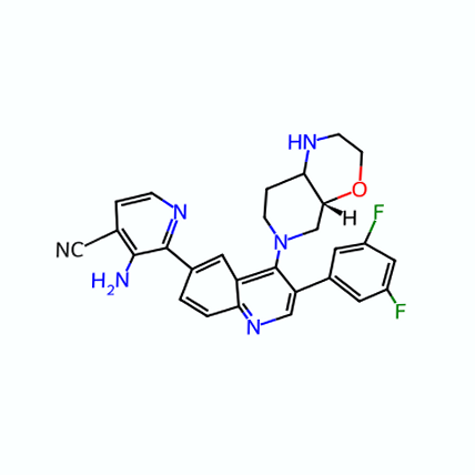 N#Cc1ccnc(-c2ccc3ncc(-c4cc(F)cc(F)c4)c(N4CCC5NCCO[C@@H]5C4)c3c2)c1N